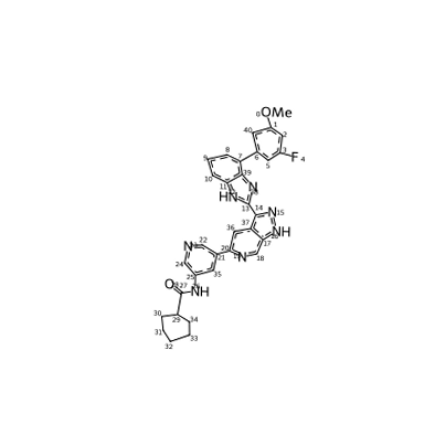 COc1cc(F)cc(-c2cccc3[nH]c(-c4n[nH]c5cnc(-c6cncc(NC(=O)C7CCCCC7)c6)cc45)nc23)c1